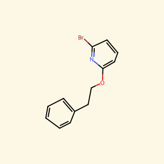 Brc1cccc(OCCc2ccccc2)n1